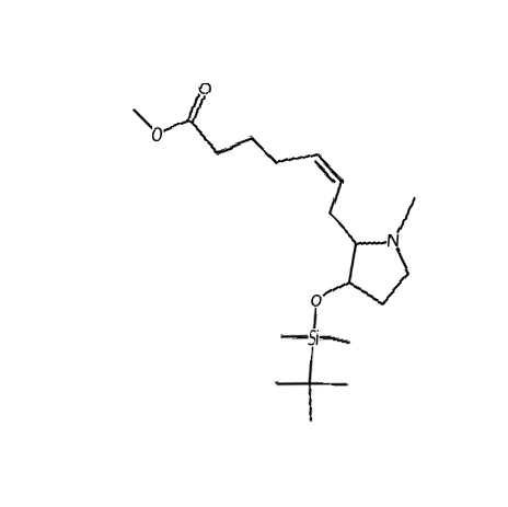 COC(=O)CCC/C=C\CC1C(O[Si](C)(C)C(C)(C)C)CCN1C